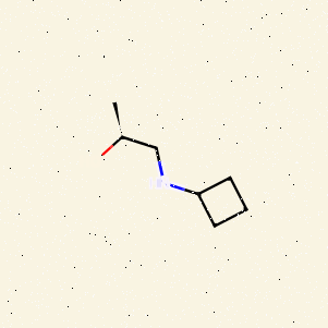 C[C@H](O)CNC1CCC1